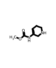 COC(=O)NC1=CCCNC1